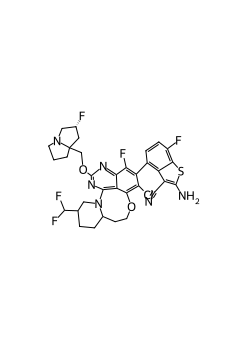 N#Cc1c(N)sc2c(F)ccc(-c3c(Cl)c4c5c(nc(OCC67CCCN6C[C@H](F)C7)nc5c3F)N3CC(C(F)F)CCC3CCO4)c12